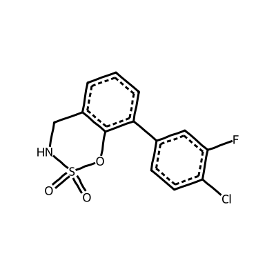 O=S1(=O)NCc2cccc(-c3ccc(Cl)c(F)c3)c2O1